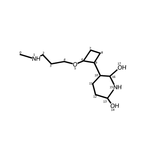 CNCCCOC1[CH]CC1C1CCC(O)NC1O